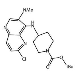 CNc1cnc2ccc(Cl)nc2c1NC1CCN(C(=O)OC(C)(C)C)CC1